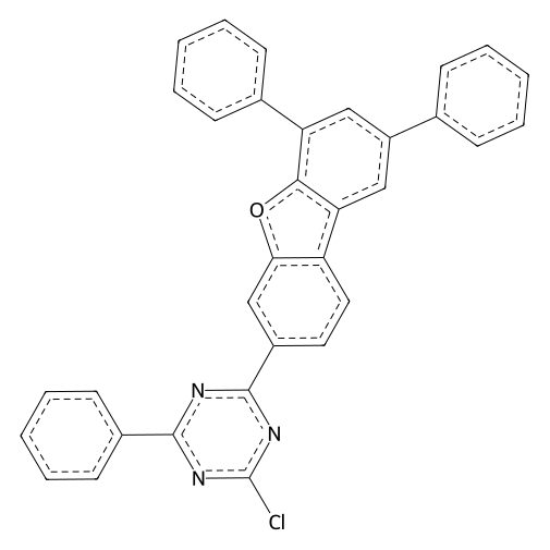 Clc1nc(-c2ccccc2)nc(-c2ccc3c(c2)oc2c(-c4ccccc4)cc(-c4ccccc4)cc23)n1